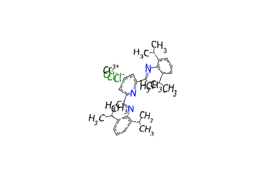 CC(=Nc1c(C(C)C)cccc1C(C)C)c1cccc(C(C)=Nc2c(C(C)C)cccc2C(C)C)n1.[Cl-].[Cl-].[Cl-].[Cr+3]